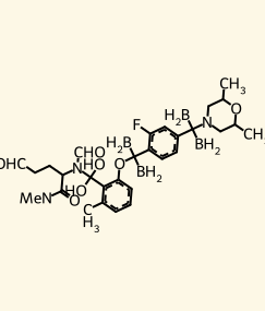 BC(B)(Oc1cccc(C)c1C(O)(O)N(C=O)C(CCC=O)C(=O)NC)c1ccc(C(B)(B)N2CC(C)OC(C)C2)cc1F